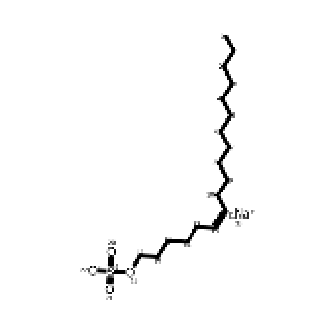 CCCCCCCCCCC/C=C\CCCCCOS(=O)(=O)[O-].[Na+]